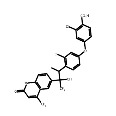 CC(c1ccc(Oc2ccc(C(=O)O)c(Cl)c2)cc1Cl)C(O)(c1ccc2[nH]c(=O)cc(C(F)(F)F)c2c1)C(F)(F)F